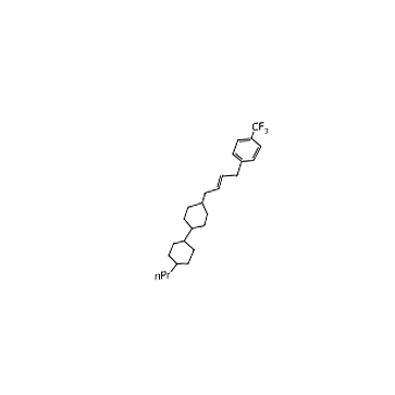 CCCC1CCC(C2CCC(CC=CCc3ccc(C(F)(F)F)cc3)CC2)CC1